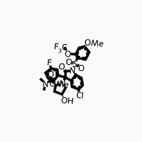 COc1ccc(S(=O)(=O)N2C(=O)C(c3cc(F)ccc3OC)(N3C[C@H](O)C[C@H]3C(=O)N(C)C)c3cc(Cl)ccc32)c(OC(F)(F)F)c1